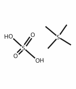 CS(C)(C)C.O=S(=O)(O)O